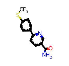 NC(=O)c1ccc(-c2ccc(SC(F)(F)F)cc2)nc1